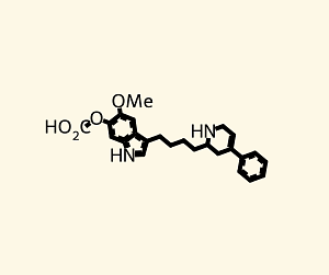 COc1cc2c(CCCCC3CC(c4ccccc4)=CCN3)c[nH]c2cc1OC(=O)O